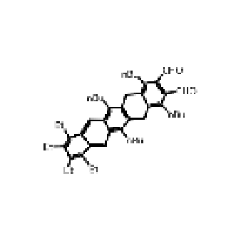 CCCCc1c(C=O)c(C=O)c(CCCC)c2c1Cc1c(c(CCCC)c3cc4c(CC)c(CC)c(CC)c(CC)c4cc3c1CCCC)C2